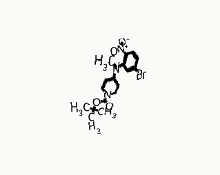 CN(c1cc(Br)ccc1[N+](=O)[O-])C1CCN(C(=O)OC(C)(C)C)CC1